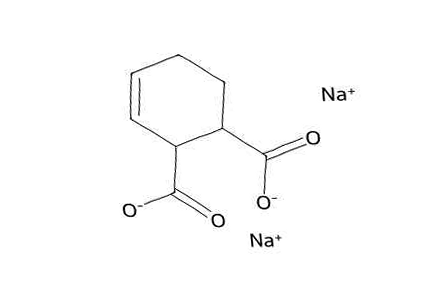 O=C([O-])C1C=CCCC1C(=O)[O-].[Na+].[Na+]